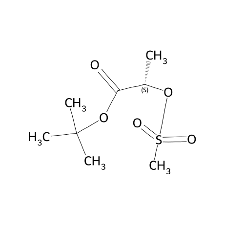 C[C@H](OS(C)(=O)=O)C(=O)OC(C)(C)C